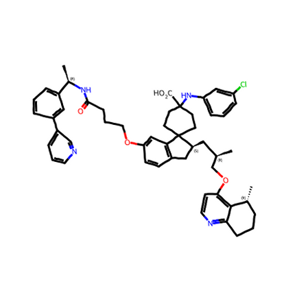 C[C@@H](COc1ccnc2c1[C@H](C)CCC2)C[C@H]1Cc2ccc(OCCCC(=O)N[C@H](C)c3cccc(-c4cccnc4)c3)cc2C12CCC(Nc1cccc(Cl)c1)(C(=O)O)CC2